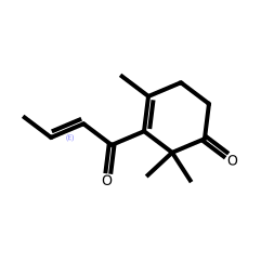 C/C=C/C(=O)C1=C(C)CCC(=O)C1(C)C